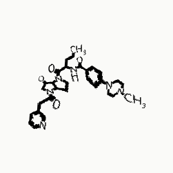 CCCC(NC(=O)c1ccc(N2CCN(C)CC2)cc1)C(=O)N1CCC2C1C(=O)CN2C(=O)Cc1cccnc1